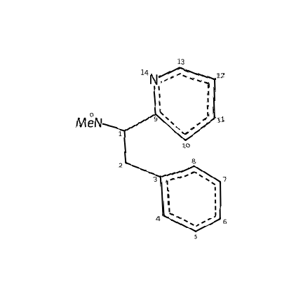 [CH2-][NH2+]C(Cc1ccccc1)c1ccccn1